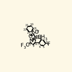 Cc1cc(F)ccc1-c1cc(C(F)(F)F)nn1NS(=O)(=O)c1ccccc1